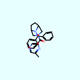 Cc1cncc(C(=O)N2CC3CCC(C2)N3C(c2ccccc2)c2ccccc2)n1